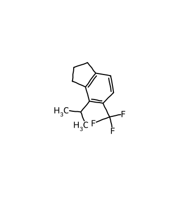 CC(C)c1c(C(F)(F)F)ccc2c1CCC2